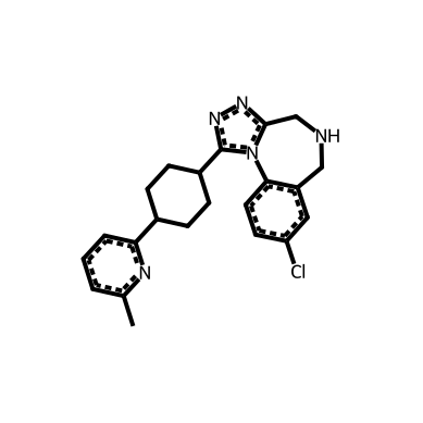 Cc1cccc(C2CCC(c3nnc4n3-c3ccc(Cl)cc3CNC4)CC2)n1